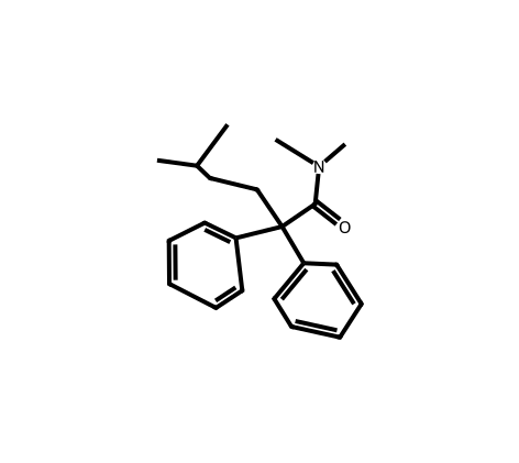 CC(C)CCC(C(=O)N(C)C)(c1ccccc1)c1ccccc1